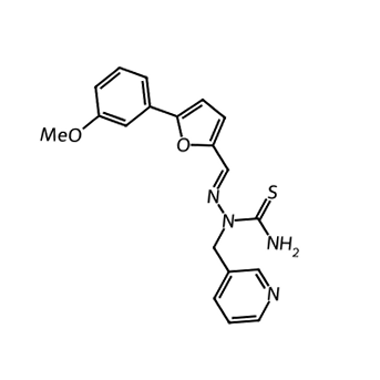 COc1cccc(-c2ccc(C=NN(Cc3cccnc3)C(N)=S)o2)c1